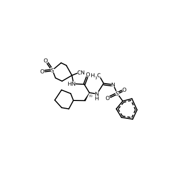 CC(=NS(=O)(=O)c1ccccc1)N[C@@H](CC1CCCCC1)C(=O)NC1(C#N)CCS(=O)(=O)CC1